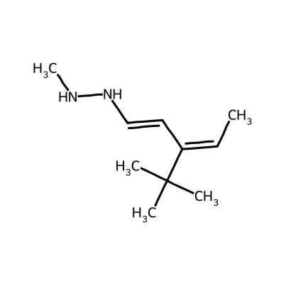 C/C=C(\C=C\NNC)C(C)(C)C